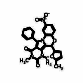 Cc1ccc(C2Oc3ccc([N+](=O)[O-])cc3-n3c(-c4ccccc4)c4c(=O)n(C)c(=O)n(C)c4c32)o1